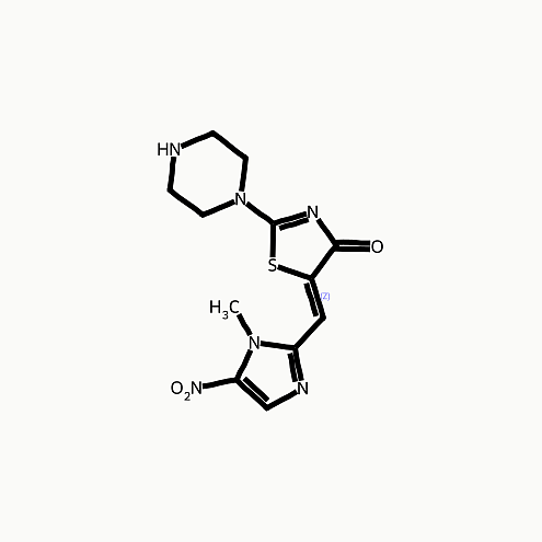 Cn1c([N+](=O)[O-])cnc1/C=C1\SC(N2CCNCC2)=NC1=O